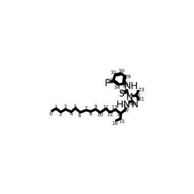 CCCCCCCCCCCCCCC(CC)CNC1=NCC(C)N1C(=S)Nc1cccc(F)c1